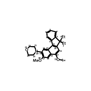 CCC1(CC)c2ccccc2-c2c1cc(OI)c1cc(OC)c(N3CCOCC3)cc21